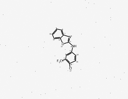 FC(F)(F)c1cc(Nc2nc3ccccc3o2)ccc1Cl